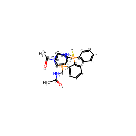 CC(=O)NC[PH]1(c2ccccc2P(=S)(c2ccccc2)c2ccccc2)CNCN(C(C)=O)C1